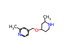 Cc1cc(COC2CCNC(C)C2)ccn1